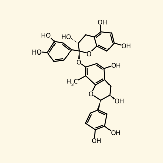 Cc1c(O[C@]2(c3ccc(O)c(O)c3)Oc3cc(O)cc(O)c3C[C@H]2O)cc(O)c2c1O[C@H](c1ccc(O)c(O)c1)[C@H](O)C2